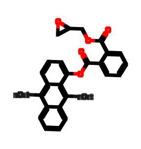 CCCCCCCCc1c2ccccc2c(CCCCCCCC)c2c(OC(=O)c3ccccc3C(=O)OCC3CO3)cccc12